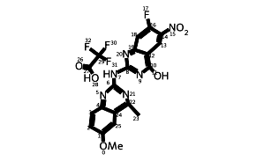 COc1ccc2nc(Nc3nc(O)c4cc([N+](=O)[O-])c(F)cc4n3)nc(C)c2c1.O=C(O)C(F)(F)F